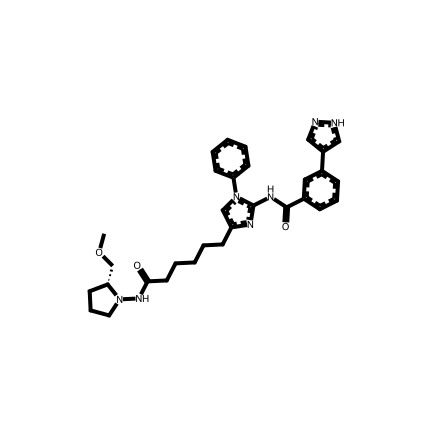 COC[C@H]1CCCN1NC(=O)CCCCCc1cn(-c2ccccc2)c(NC(=O)c2cccc(-c3cn[nH]c3)c2)n1